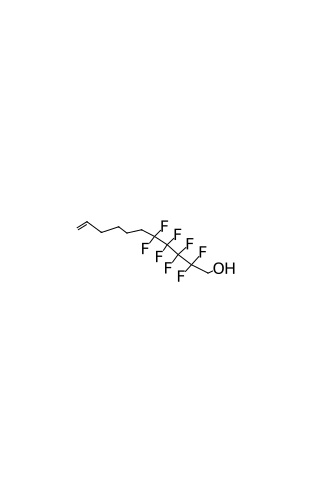 C=CCCCCC(F)(F)C(F)(F)C(F)(F)C(F)(F)CO